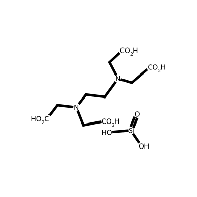 O=C(O)CN(CCN(CC(=O)O)CC(=O)O)CC(=O)O.O=[Si](O)O